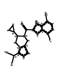 O=C(c1nc2c(F)ccc(Cl)c2[nH]1)N1Cc2cnc(C(F)F)n2CC1C1CC1